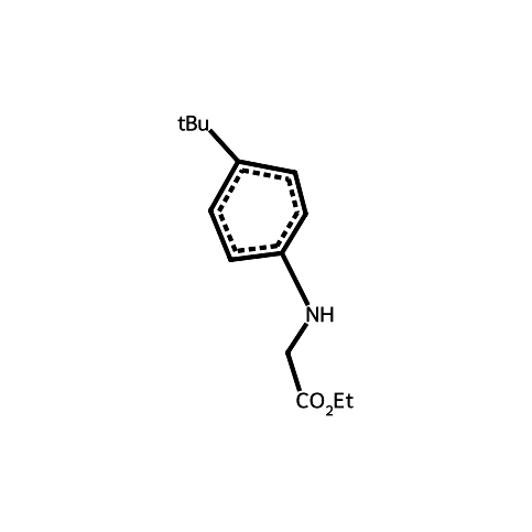 CCOC(=O)CNc1ccc(C(C)(C)C)cc1